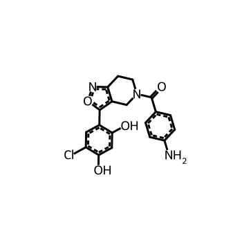 Nc1ccc(C(=O)N2CCc3noc(-c4cc(Cl)c(O)cc4O)c3C2)cc1